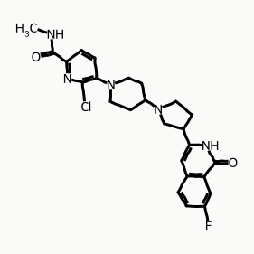 CNC(=O)c1ccc(N2CCC(N3CCC(c4cc5ccc(F)cc5c(=O)[nH]4)C3)CC2)c(Cl)n1